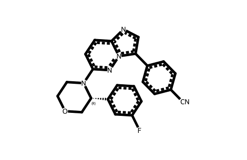 N#Cc1ccc(-c2cnc3ccc(N4CCOC[C@H]4c4cccc(F)c4)nn23)cc1